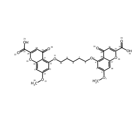 COc1cc(OCCCCCOc2cc(OC)cc3oc(C(=O)O)cc(=O)c23)c2c(=O)cc(C(=O)O)oc2c1